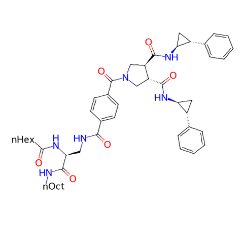 CCCCCCCCNC(=O)[C@H](CNC(=O)c1ccc(C(=O)N2C[C@@H](C(=O)N[C@H]3C[C@@H]3c3ccccc3)[C@H](C(=O)N[C@H]3C[C@@H]3c3ccccc3)C2)cc1)NC(=O)CCCCCC